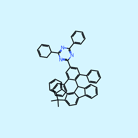 CC1(C)c2ccccc2-c2c1ccc1c2C(c2c(-c3ccccc3)cc(-c3nc(-c4ccccc4)nc(C4C=CC=CC4)n3)cc2-c2ccccc2)c2ccccc2-1